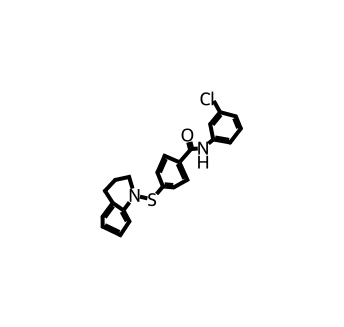 O=C(Nc1cccc(Cl)c1)c1ccc(SN2CCCc3ccccc32)cc1